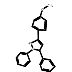 COc1ccc(C2=CC(c3ccccc3)N(c3ccccc3)N2)cc1